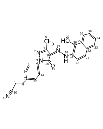 CC1=NN(c2ccc(CCC#N)cc2)C(=O)C1=NNc1ccc2ccccc2c1O